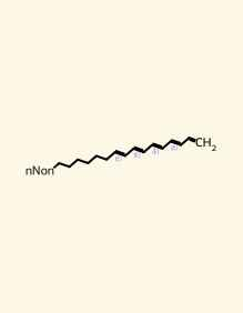 C=C/C=C/C=C/C=C/C=C/CCCCCCCCCCCCCCC